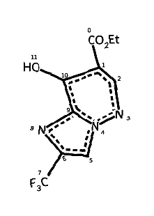 CCOC(=O)c1cnn2cc(C(F)(F)F)nc2c1O